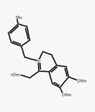 CCCCCCCCCCCC1=[N+](Cc2ccc(C(C)(C)C)cc2)CCc2cc(OC)c(OC)cc21